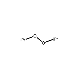 C[C](C)OO[C](C)C